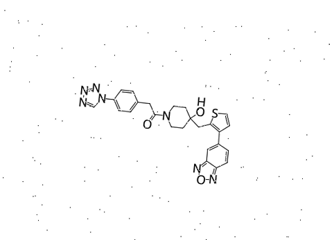 O=C(Cc1ccc(-n2cnnn2)cc1)N1CCC(O)(Cc2sccc2-c2ccc3nonc3c2)CC1